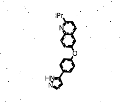 CC(C)c1ccc2cc(Oc3ccc(-c4ccn[nH]4)cc3)ccc2n1